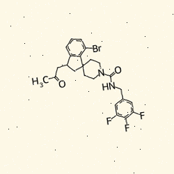 CC(=O)CC1CC2(CCN(C(=O)NCc3cc(F)c(F)c(F)c3)CC2)c2c(Br)cccc21